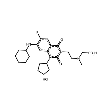 CN(CCn1c(=O)c2cc(F)c(NC3CCCCC3)cc2n(C2CCCC2)c1=O)CC(=O)O.Cl